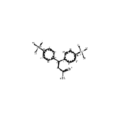 CCC(=O)CC(c1ccc([N+](C)(C)C)cc1)c1ccc([N+](C)(C)C)cc1